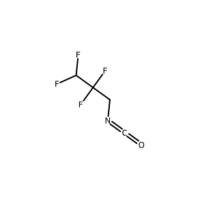 O=C=NCC(F)(F)C(F)F